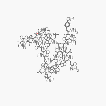 CC(C)C[C@H](NC(=O)CNC(=O)[C@H](CCC(=O)O)NC(=O)CNC(=O)[C@H](CCC(N)=O)NC(=O)[C@H](CC(C)C)NC(=O)[C@H](CC(=O)O)NC(=O)[C@H](C)NC(=O)[C@H](C)NC(=O)[C@H](CCC(N)=O)NC(=O)[C@@H](NC(=O)[C@@H](NC(=O)[C@H](CC(C)C)NC(=O)[C@@H](NC(=O)[C@@H](N)Cc1ccc(O)cc1)[C@@H](C)O)C(C)C)C(C)C)C(=O)N[C@@H](CO)C(=O)N[C@H](C(=O)N[C@H](C(=O)N[C@@H](C)C(=O)N[C@H](C(=O)O)[C@@H](C)O)[C@@H](C)O)[C@@H](C)O